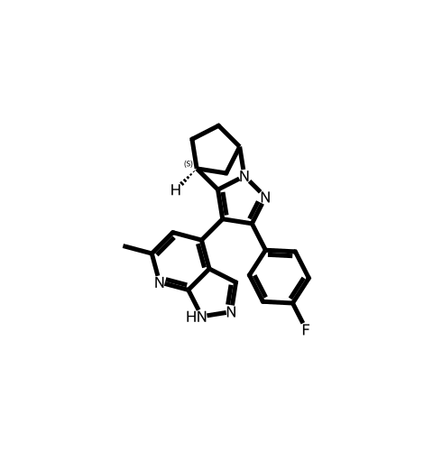 Cc1cc(-c2c(-c3ccc(F)cc3)nn3c2[C@H]2CCC3C2)c2cn[nH]c2n1